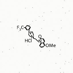 COc1cccc2c1ccc(=O)n2CCCN1CCN(c2cccc(C(F)(F)F)c2)CC1.Cl